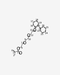 C=C(C)C(=O)OCCOCCOCCOc1ccccc1-c1ccccc1